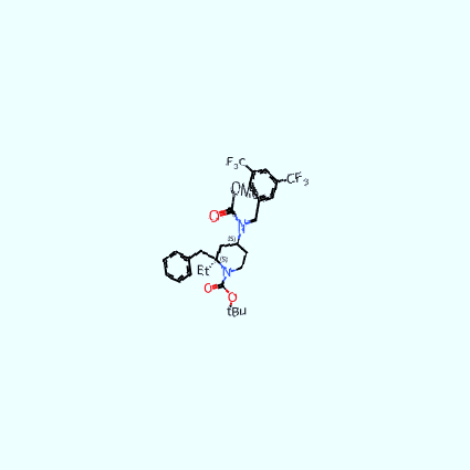 CC[C@]1(Cc2ccccc2)C[C@@H](N(Cc2cc(C(F)(F)F)cc(C(F)(F)F)c2)C(=O)OC)CCN1C(=O)OC(C)(C)C